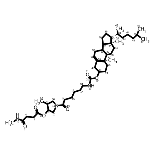 CNC(=O)CCC(=O)OC1CN(C(=O)CCCCCNC(=O)OC2CC[C@@]3(C)C(=CCC4C3CC[C@@]3(C)C4CC[C@@H]3C(C)CCCC(C)C)C2)CC1C